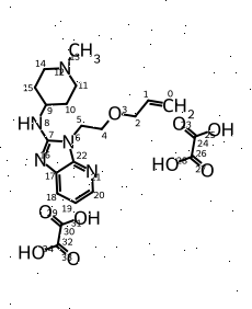 C=CCOCCn1c(NC2CCN(C)CC2)nc2cccnc21.O=C(O)C(=O)O.O=C(O)C(=O)O